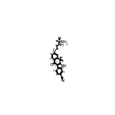 CC1(C)c2cc(OCCN[SH](C)(N)=O)ccc2C(=O)c2c1[nH]c1cc(C#N)ccc21